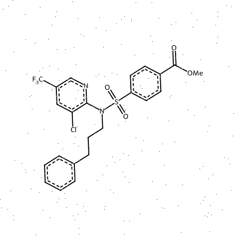 COC(=O)c1ccc(S(=O)(=O)N(CCCc2ccccc2)c2ncc(C(F)(F)F)cc2Cl)cc1